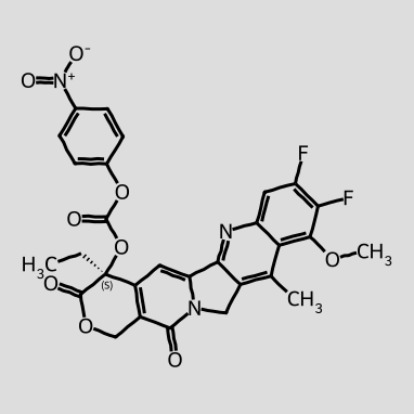 CC[C@@]1(OC(=O)Oc2ccc([N+](=O)[O-])cc2)C(=O)OCc2c1cc1n(c2=O)Cc2c-1nc1cc(F)c(F)c(OC)c1c2C